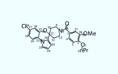 CCCOc1ccc(C(=O)N2CCC3(CC2)Oc2cc(Cl)ccc2-n2cccc23)cc1OC